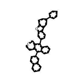 c1ccc(-c2ccc3oc4cc(-c5c6ccccc6c(-c6ccc7ccccc7c6)c6ccccc56)ccc4c3c2)cc1